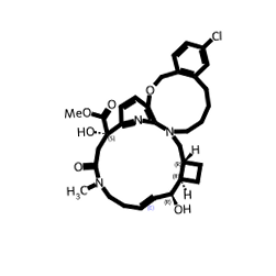 COC(=O)[C@]1(O)CC(=O)N(C)CC/C=C/[C@H](O)[C@@H]2CC[C@H]2CN2CCCCc3cc(Cl)ccc3COc3ccc1nc32